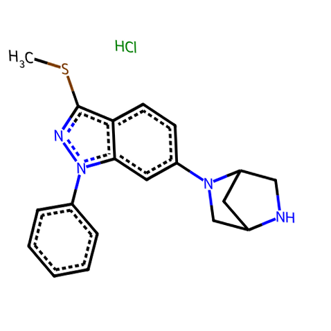 CSc1nn(-c2ccccc2)c2cc(N3CC4CC3CN4)ccc12.Cl